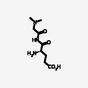 CN(C)CC(=O)NC(=O)[C@@H](N)CCC(=O)O